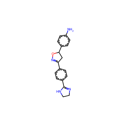 Nc1ccc(C2CC(c3ccc(C4=NCCN4)cc3)=NO2)cc1